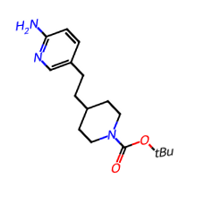 CC(C)(C)OC(=O)N1CCC(CCc2ccc(N)nc2)CC1